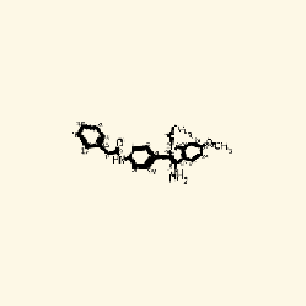 CCn1c(-c2ccc(NC(=O)Cc3ccccc3)cc2)c(N)c2ccc(OC)cc21